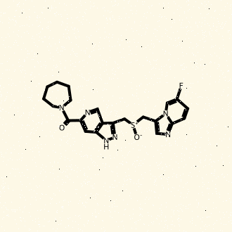 O=C(c1cc2[nH]nc(C[S+]([O-])Cc3cnc4ccc(F)cn34)c2cn1)N1CCCCCC1